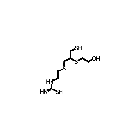 N=C(S)NCCSCC(CS)SCCO